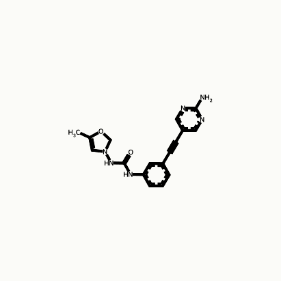 CC1=CN(NC(=O)Nc2cccc(C#Cc3cnc(N)nc3)c2)CO1